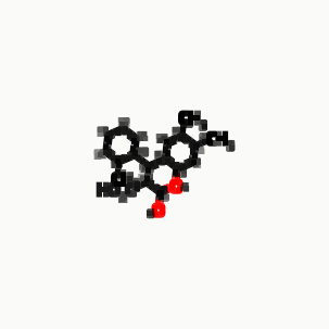 Cc1cc2oc(=O)c(C(=O)O)c(-c3ccccc3C)c2cc1C